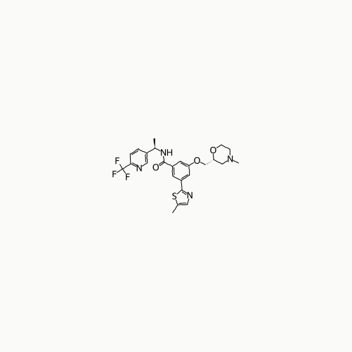 Cc1cnc(-c2cc(OC[C@H]3CN(C)CCO3)cc(C(=O)N[C@H](C)c3ccc(C(F)(F)F)nc3)c2)s1